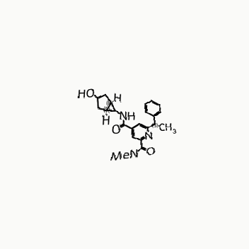 CNC(=O)c1cc(C(=O)NC2[C@H]3CC(O)C[C@@H]23)cc([C@@H](C)c2ccccc2)n1